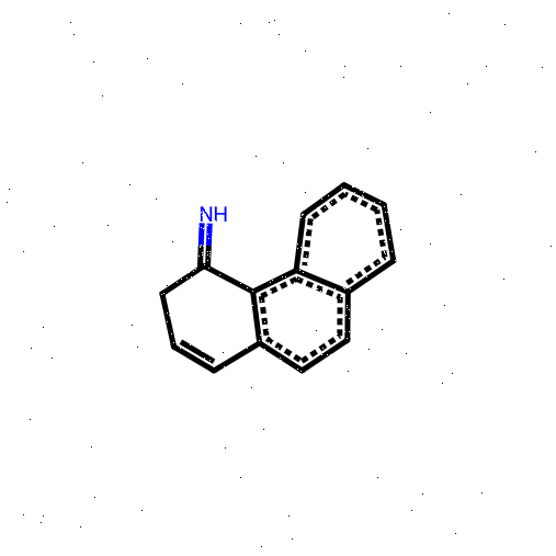 N=C1CC=Cc2ccc3ccccc3c21